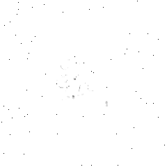 COC(=O)[C@H]1CCCN1C(=O)c1nc(CCOBr)oc1[Si](C)(C)C